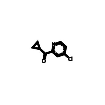 O=C(c1cc(Cl)ccn1)C1CC1